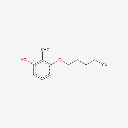 N#CCCCCOc1cccc(O)c1C=O